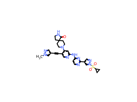 Cn1cc(C#Cc2cnc(Nc3ccnc(-c4cnn(S(=O)(=O)C5CC5)c4)n3)cc2N2CCC3(CCNC3=O)CC2)cn1